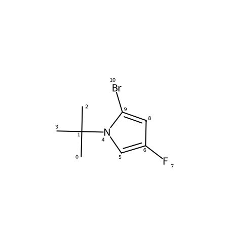 CC(C)(C)n1cc(F)cc1Br